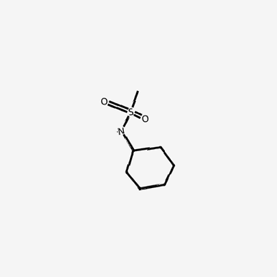 CS(=O)(=O)[N]C1CCCCC1